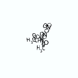 CCOC(=O)c1nn(-c2ccc3c(c2)C(C)(C)CO3)c2c1CCN(c1ccc(N3CCCCC3=O)cc1)C2=O